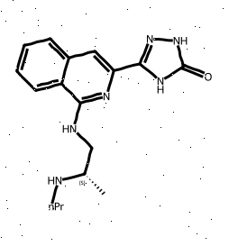 CCCN[C@@H](C)CNc1nc(-c2n[nH]c(=O)[nH]2)cc2ccccc12